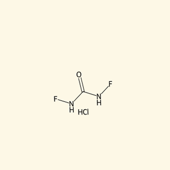 Cl.O=C(NF)NF